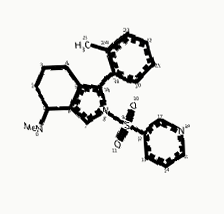 CNC1CCCc2c1cn(S(=O)(=O)c1cccnc1)c2-c1ccccc1C